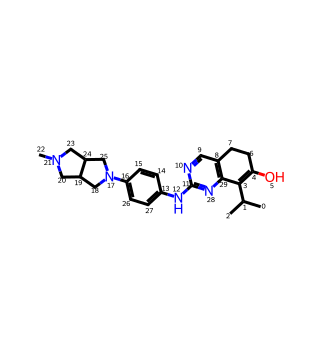 CC(C)C1=C(O)CCc2cnc(Nc3ccc(N4CC5CN(C)CC5C4)cc3)nc21